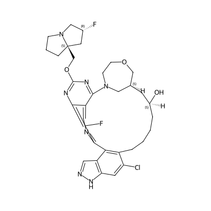 O[C@H]1CCCCc2c(Cl)cc3[nH]ncc3c2-c2ncc3c(nc(OC[C@@]45CCCN4C[C@H](F)C5)nc3c2F)N2CCOC[C@@H](C1)C2